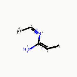 C/C=C(N)\N=C/CC